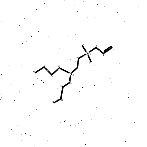 C=CC[Si](C)(C)CCN(CCCC)CCCC